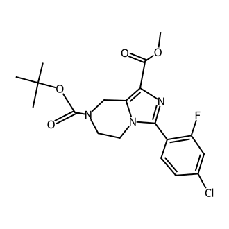 COC(=O)c1nc(-c2ccc(Cl)cc2F)n2c1CN(C(=O)OC(C)(C)C)CC2